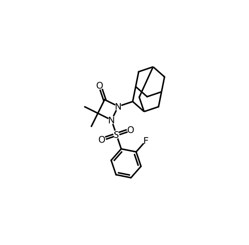 CC1(C)C(=O)N(C2C3CC4CC(C3)CC2C4)N1S(=O)(=O)c1ccccc1F